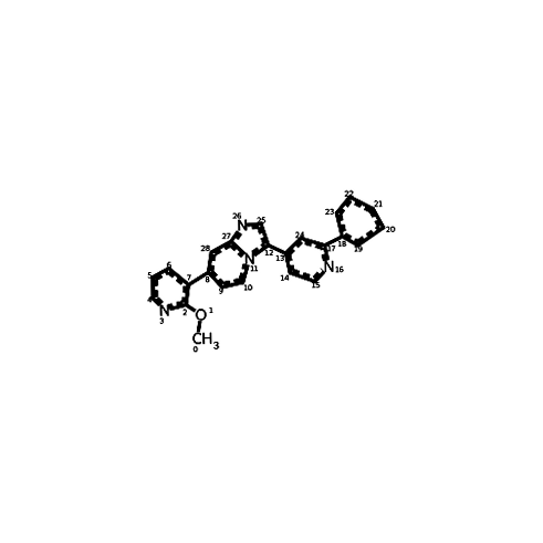 COc1ncccc1-c1ccn2c(-c3ccnc(-c4ccccc4)c3)cnc2c1